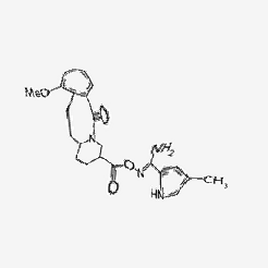 COc1cccc2c1CCC1CCC(C(=O)O/N=C(\N)c3cc(C)c[nH]3)CN1C2=O